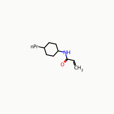 C=CC(=O)NC1CCC(CCC)CC1